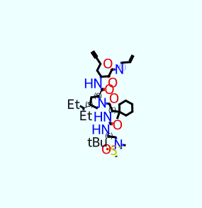 C#CCCC(NC(=O)[C@@H]1C[C@@H](C(CC)CC)CN1C(=O)[C@@H](NC(=O)N[C@H](CN(C)[S+](C)[O-])C(C)(C)C)C1(C)CCCCC1)C(=O)C(=O)/N=C/C=C